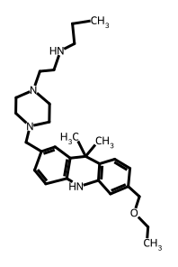 CCCNCCN1CCN(Cc2ccc3c(c2)C(C)(C)c2ccc(COCC)cc2N3)CC1